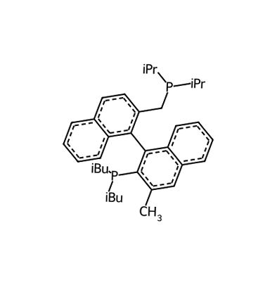 CCC(C)P(c1c(C)cc2ccccc2c1-c1c(CP(C(C)C)C(C)C)ccc2ccccc12)C(C)CC